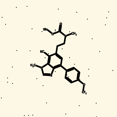 CN(CCc1cc(-c2ccc(OC(F)(F)F)cc2)c2ncn(C)c2c1C#N)C(=O)OC(C)(C)C